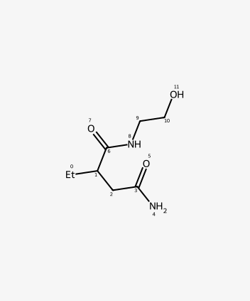 CCC(CC(N)=O)C(=O)NCCO